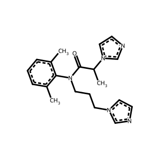 Cc1cccc(C)c1N(CCCn1ccnc1)C(=O)C(C)n1ccnc1